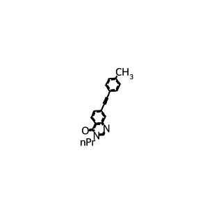 CCCn1cnc2cc(C#Cc3ccc(C)cc3)ccc2c1=O